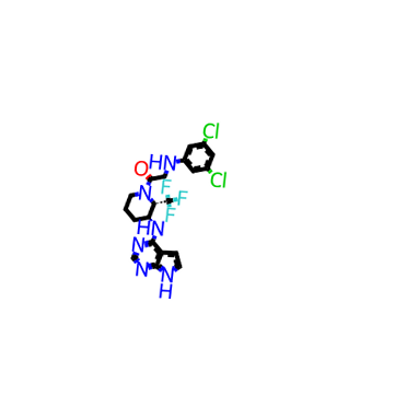 O=C(CNc1cc(Cl)cc(Cl)c1)N1CCC[C@@H](Nc2ncnc3[nH]ccc23)[C@H]1C(F)(F)F